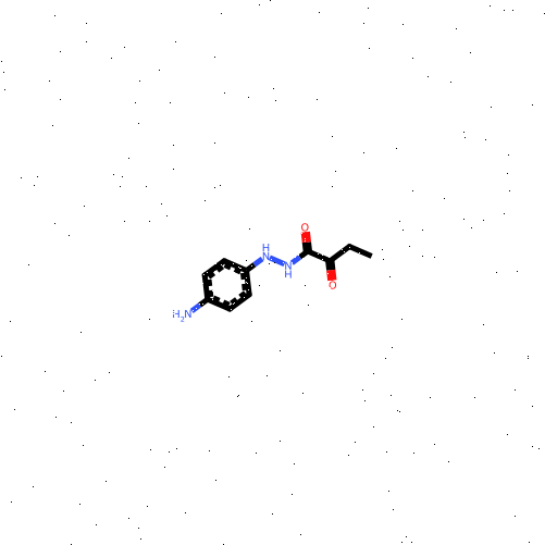 CCC(=O)C(=O)NNc1ccc(N)cc1